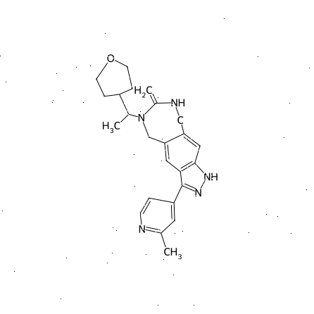 C=C1NCc2cc3[nH]nc(-c4ccnc(C)c4)c3cc2CN1C(C)C1CCOCC1